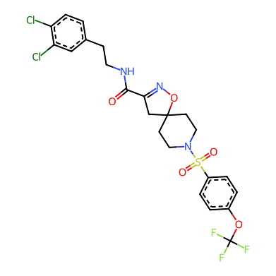 O=C(NCCc1ccc(Cl)c(Cl)c1)C1=NOC2(CCN(S(=O)(=O)c3ccc(OC(F)(F)F)cc3)CC2)C1